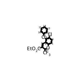 CCOC(=O)C1=Cc2c(ccc(Cl)c2Oc2ccccc2)OC1C(F)(F)F